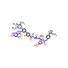 Cc1ncsc1-c1ccc(CNC(=O)[C@@H]2C[C@@H](O)CN2C(=O)[C@@H](NC(=O)CNC(=O)c2ccc(-c3ccc(N4C[C@@H](C)N(C)[C@@H](C)C4)c(NC(=O)c4c[nH]c(=O)cc4C(F)(F)F)c3)c(F)c2)C(C)(C)C)cc1